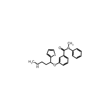 CNCCC(Oc1cccc(C(=O)N(C)c2ccccc2)c1)c1cccs1